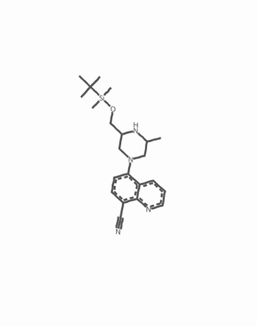 CC1CN(c2ccc(C#N)c3ncccc23)CC(CO[Si](C)(C)C(C)(C)C)N1